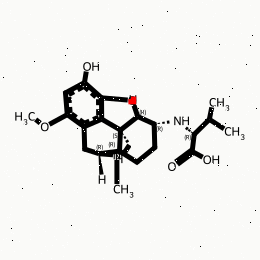 COc1cc(O)c2c3c1C[C@@H]1[C@@H]4CC[C@@H](N[C@@H](C(=O)O)C(C)C)[C@H](O2)[C@]34CCN1C